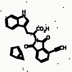 C#Cc1cccc2c1C(=O)N(C(Cc1c[nH]c3ccccc13)C(=O)O)C2=O.c1cc2cc-2c1